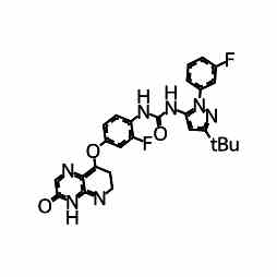 CC(C)(C)c1cc(NC(=O)Nc2ccc(OC3=c4ncc(=O)[nH]c4=NCC3)cc2F)n(-c2cccc(F)c2)n1